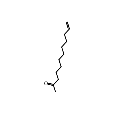 C=CCCCCCCCCC(C)=O